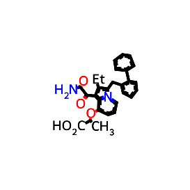 CCc1c(C(=O)C(N)=O)c2c(OC(C)C(=O)O)cccn2c1Cc1ccccc1-c1ccccc1